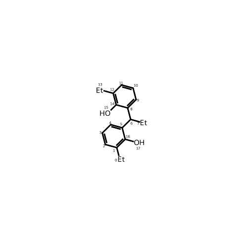 CCc1cccc(C(CC)c2cccc(CC)c2O)c1O